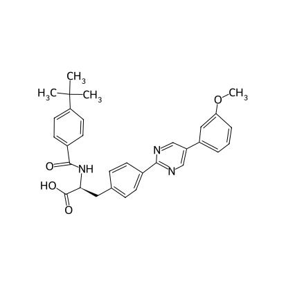 COc1cccc(-c2cnc(-c3ccc(C[C@H](NC(=O)c4ccc(C(C)(C)C)cc4)C(=O)O)cc3)nc2)c1